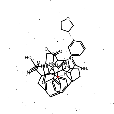 CC1(C)C(C(N)=O)Cc2ccc(cc2)[C@@]1(C(=O)NC(=O)O)N1CCCC1N(c1cccc([C@@H]2CCOC2)c1)C1CCCN1[C@]1(C(=O)NC(=O)O)c2ccc(cc2)CC(C(N)=O)C1(C)C